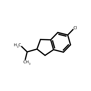 CC(C)C1Cc2ccc(Cl)cc2C1